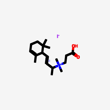 CC1=CCCC(C)(C)C1/C=C/C(C)[N+](C)(C)CCC(=O)O.[I-]